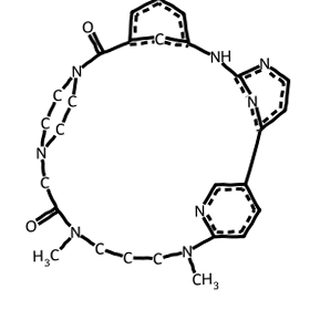 CN1CCCN(C)c2ccc(cn2)-c2ccnc(n2)Nc2cccc(c2)C(=O)N2CCN(CC2)CC1=O